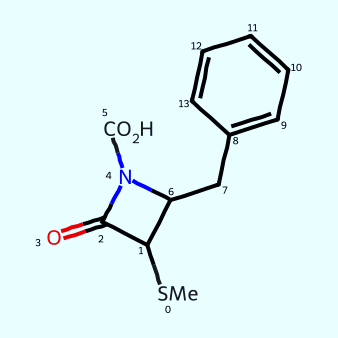 CSC1C(=O)N(C(=O)O)C1Cc1ccccc1